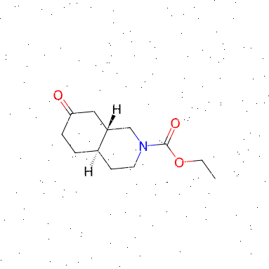 CCOC(=O)N1CC[C@H]2CCC(=O)C[C@@H]2C1